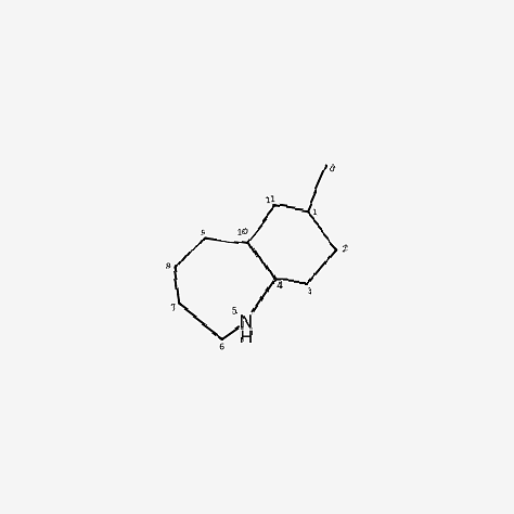 CC1CCC2NCCCCC2C1